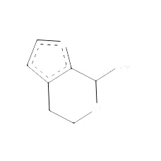 CCCCC1OCCc2ccsc21